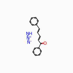 O=C(C=CC=Cc1ccccc1)c1ccccc1.[N-]=[N+]=N